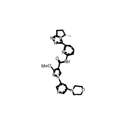 COc1nn(-c2cncc(N3CCOCC3)c2)cc1C(=O)Nc1cccc(-c2nnc3n2[C@@H](C)CC3)n1